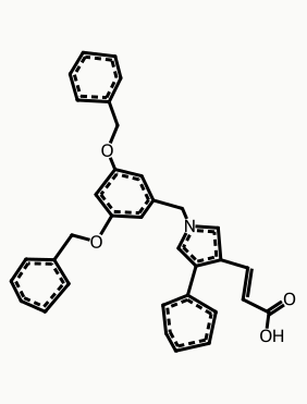 O=C(O)C=Cc1cn(Cc2cc(OCc3ccccc3)cc(OCc3ccccc3)c2)cc1-c1ccccc1